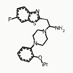 CC(C)Oc1ccccc1N1CCN(C(N)Cc2nc3ccc(F)cc3s2)CC1